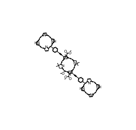 COC(=O)c1c(C#Cc2ccc(-c3c4nc(cc5ccc(cc6nc(cc7ccc3[nH]7)C=C6)[nH]5)C=C4)cc2)c2cc3nc(c(OC)c4[nH]c(cc5nc(cc1[nH]2)CC5(C)C)c(C#Cc1ccc(-c2c5nc(cc6ccc(cc7nc(cc8ccc2[nH]8)C=C7)[nH]6)C=C5)cc1)c4C(=O)OC)CC3(C)C